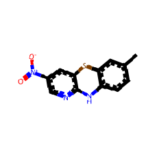 Cc1ccc2c(c1)Sc1cc([N+](=O)[O-])cnc1N2